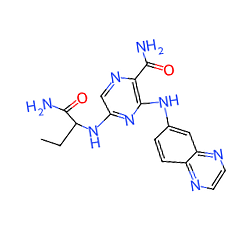 CCC(Nc1cnc(C(N)=O)c(Nc2ccc3nccnc3c2)n1)C(N)=O